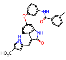 Cc1cccc(C(=O)Nc2cccc(Oc3ccc4c(c3)NC(=O)C4=Cc3cc(C(=O)O)c[nH]3)c2)c1